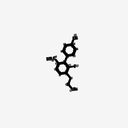 CCCCOCc1ccc(C(=O)O)c(-c2ccc(C#N)cc2)c1F